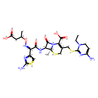 CCN1CC=C(N)N=C1SCC1=C(C(=O)O)N2C(=O)C(NC(=O)/C(=N\OC(C)CC(=O)O)c3csc(N)n3)[C@@H]2SC1